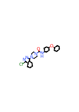 O=C(Nc1ccc(Oc2ccccc2)cc1)N1CCN(c2nnc(Cl)c3ccccc23)CC1